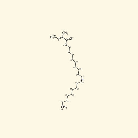 CC=C(C)C(=O)OCCCCCCCC/C=C\CCCCCCCC